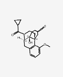 COc1cccc2c1[C@]13CCN(C(=O)C4CC4)[C@H](C2)[C@]1(O)CCC(=O)C3